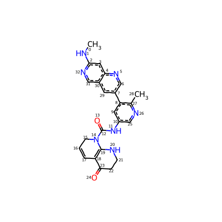 CNc1cc2ncc(-c3cc(NC(=O)N4CC=CC5=C4NCCC5=O)cnc3C)cc2cn1